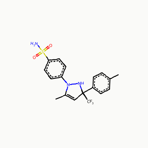 CC1=CC(c2ccc(C)cc2)(C(F)(F)F)NN1c1ccc(S(N)(=O)=O)cc1